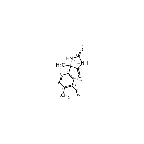 Cc1ccc(C2(C)NC(=O)NC2=O)cc1F